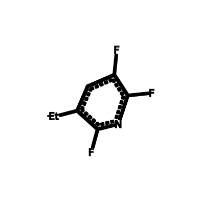 C[CH]c1cc(F)c(F)nc1F